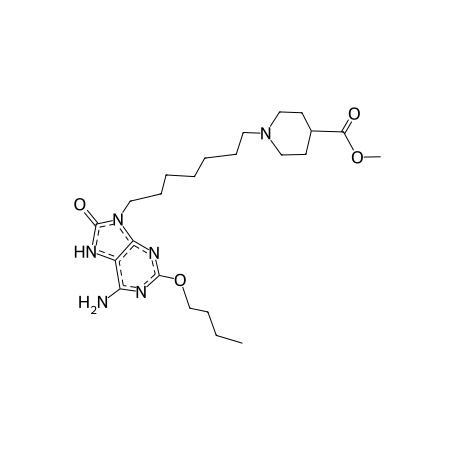 CCCCOc1nc(N)c2[nH]c(=O)n(CCCCCCCN3CCC(C(=O)OC)CC3)c2n1